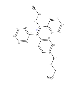 COCCOc1ccc(/C(=C(/CCCl)c2ccccc2)c2ccccc2)cc1